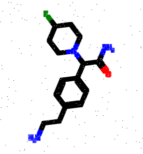 NCCc1ccc(C(C(N)=O)N2CCC(F)CC2)cc1